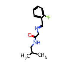 CC(C)CNC(=O)CN=Cc1ccccc1F